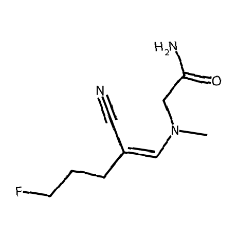 CN(/C=C(\C#N)CCCF)CC(N)=O